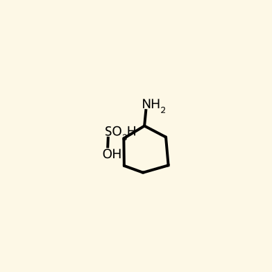 NC1CCCCC1.O=S(=O)(O)O